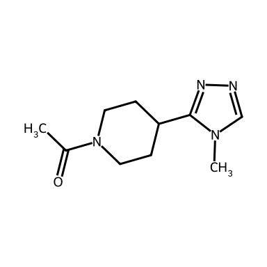 CC(=O)N1CCC(c2nncn2C)CC1